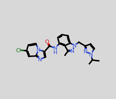 Cc1nn(Cc2ccn(C(C)C)n2)c2cccc(NC(=O)c3cnc4cc(Cl)ccn34)c12